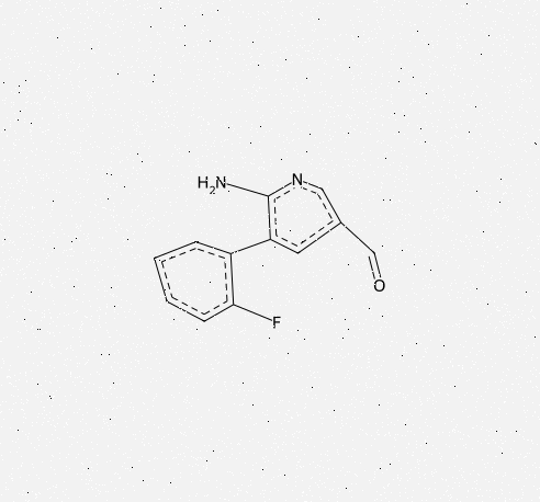 Nc1ncc(C=O)cc1-c1ccccc1F